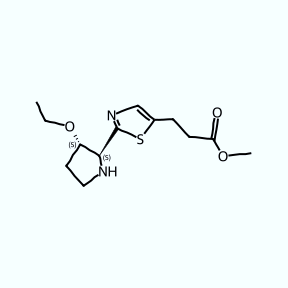 CCO[C@H]1CCN[C@@H]1c1ncc(CCC(=O)OC)s1